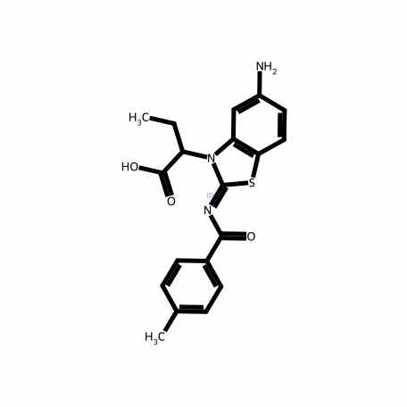 CCC(C(=O)O)n1/c(=N/C(=O)c2ccc(C)cc2)sc2ccc(N)cc21